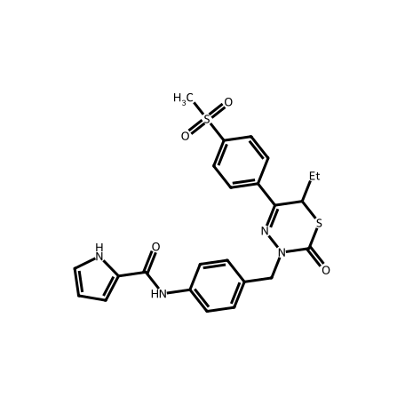 CCC1SC(=O)N(Cc2ccc(NC(=O)c3ccc[nH]3)cc2)N=C1c1ccc(S(C)(=O)=O)cc1